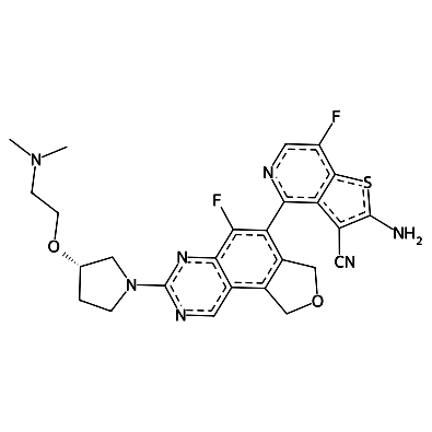 CN(C)CCO[C@H]1CCN(c2ncc3c4c(c(-c5ncc(F)c6sc(N)c(C#N)c56)c(F)c3n2)COC4)C1